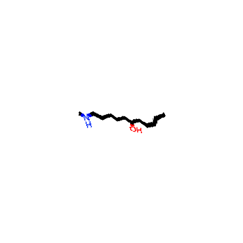 C=C/C=C\CC(O)CCCCCNC